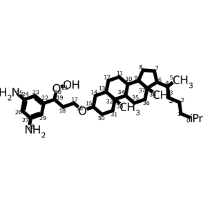 CC(C)CCCC(C)C1CCC2C3CCC4CC(OCCC(OO)c5cc(N)cc(N)c5)CCC4(C)C3CCC12C